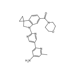 Cc1cc(N)cc(-c2cnc(N3CC4(CC4)c4ccc(C(=O)N5CCOCC5)cc43)nc2)n1